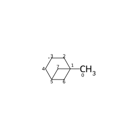 CC12C[CH]CC(C1)C2